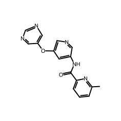 Cc1cccc(C(=O)Nc2cncc(Oc3cncnc3)c2)n1